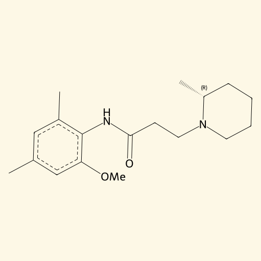 COc1cc(C)cc(C)c1NC(=O)CCN1CCCC[C@H]1C